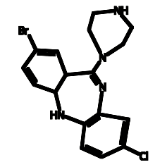 Clc1ccc2c(c1)N=C(N1CCNCC1)C1C=C(Br)C=CC1N2